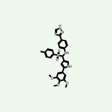 COc1cc(-c2cc(C(Nc3ccc(-c4nc[nH]n4)cc3)S(=O)(=O)c3ccc(C)cc3)c[nH]2)cc(OC)c1OC